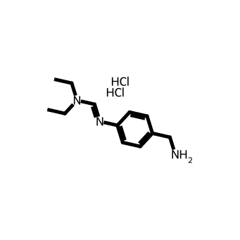 CCN(C=Nc1ccc(CN)cc1)CC.Cl.Cl